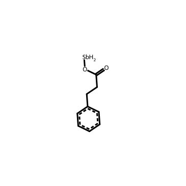 O=C(CCc1ccccc1)[O][SbH2]